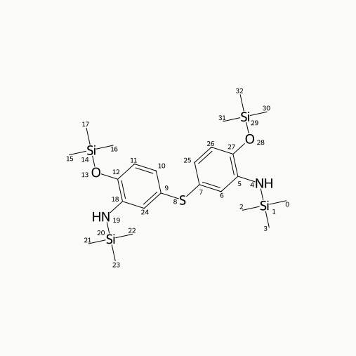 C[Si](C)(C)Nc1cc(Sc2ccc(O[Si](C)(C)C)c(N[Si](C)(C)C)c2)ccc1O[Si](C)(C)C